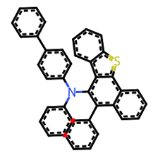 c1ccc(-c2ccc(N(c3ccccc3)c3c(-c4ccccc4)c4ccccc4c4sc5ccccc5c34)cc2)cc1